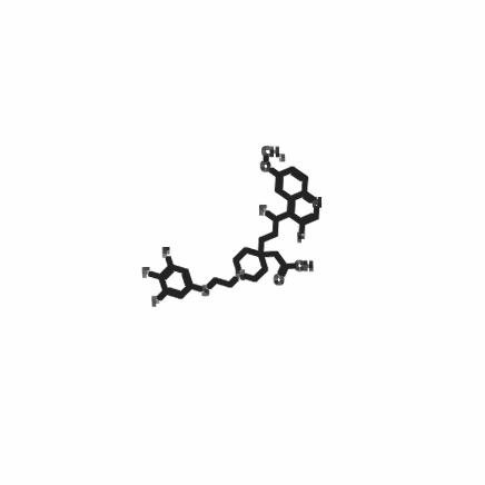 COc1ccc2ncc(F)c(C(F)CCC3(CC(=O)O)CCN(CCSc4cc(F)c(F)c(F)c4)CC3)c2c1